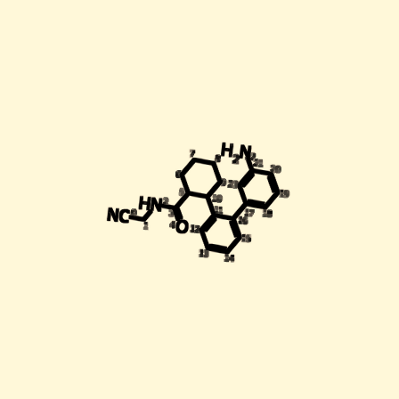 N#CCNC(=O)C1CCCCC1c1ccccc1-c1cccc(N)c1